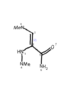 CN/C=C(\NNC)C(N)=O